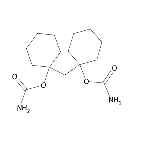 NC(=O)OC1(CC2(OC(N)=O)CCCCC2)CCCCC1